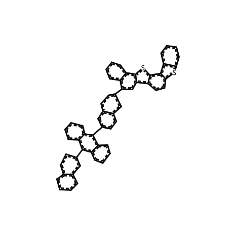 c1ccc2cc(-c3c4ccccc4c(-c4ccc5cc(-c6cc7c8ccc9sc%10ccccc%10c9c8sc7c7ccccc67)ccc5c4)c4ccccc34)ccc2c1